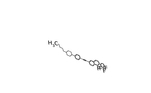 CCCCCC1CCC(c2ccc(C#Cc3ccc4c(F)c(OC(F)(F)F)ccc4c3)cc2)CC1